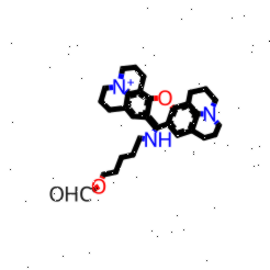 O=COCCCCCNC1=c2cc3c4c(c2Oc2c1cc1c5c2CCCN5CCC1)CCC[N+]=4CCC3